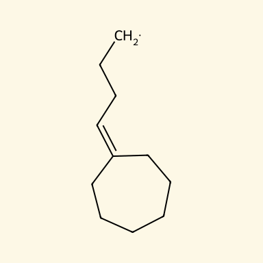 [CH2]CCC=C1CCCCCC1